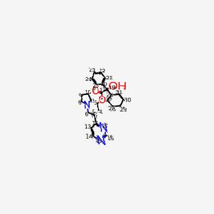 O=C(OCC[C@@H](CN1CCCC1)c1ccncn1)C(O)(c1ccccc1)C1CCCCC1